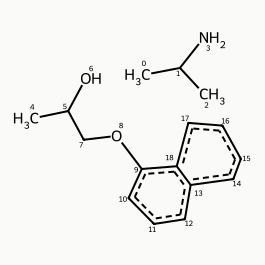 CC(C)N.CC(O)COc1cccc2ccccc12